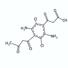 CC(=O)CC(=O)c1c(N)c(Cl)c(C(=O)CC(C)=O)c(N)c1Cl